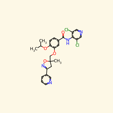 CC(C)Oc1ccc(C(=O)Nc2c(Cl)cncc2Cl)cc1OCC1(C)CC(c2cccnc2)=NO1